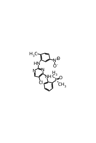 Cc1ccc([N+](=O)[O-])cc1Nc1ncc(Cl)c(Nc2ccccc2P(C)(C)=O)n1